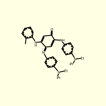 CCN(c1ccc(/N=C2\C=C(Nc3ccc(N(CC)C(C)C)cc3)C(=O)C=C2Nc2ccccc2C)cc1)C(C)C